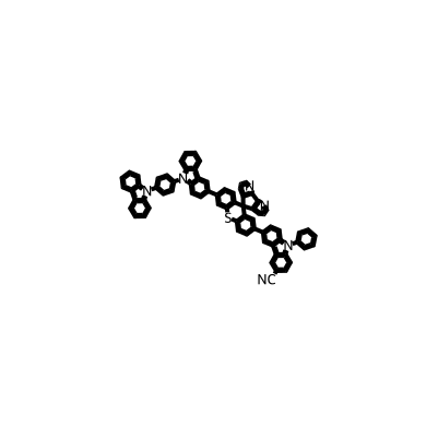 N#Cc1ccc2c(c1)c1cc(-c3ccc4c(c3)C3(c5ccc(-c6ccc7c(c6)c6ccccc6n7-c6ccc(-n7c8ccccc8c8ccccc87)cc6)cc5S4)c4cccnc4-c4ncccc43)ccc1n2-c1ccccc1